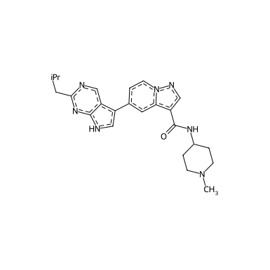 CC(C)Cc1ncc2c(-c3ccn4ncc(C(=O)NC5CCN(C)CC5)c4c3)c[nH]c2n1